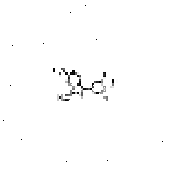 Cn1nc(-c2cc(F)c(C=O)c(F)c2)c2cnc(N)nc21